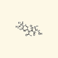 CC(=O)N(c1ccc(C(F)(F)P)c(C)n1)N1C(=O)C(C)=C(CO)C1=O